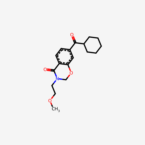 COCCN1COc2cc(C(=O)C3CCCCC3)ccc2C1=O